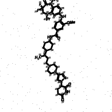 COc1cc(C(=O)NC2CCC(N(C)CCN3CCN(c4cnn(C5CCC(=O)NC5=O)c4)CC3)CC2)ccc1Nc1ncc2c(n1)N(C(C)C)CC(F)(F)C(=O)N2C